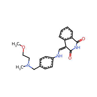 COCCN(C)Cc1ccc(NC=C2C(=O)NC(=O)c3ccccc32)cc1